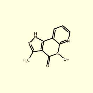 Cc1n[nH]c2c1c(=O)n(O)c1ncccc21